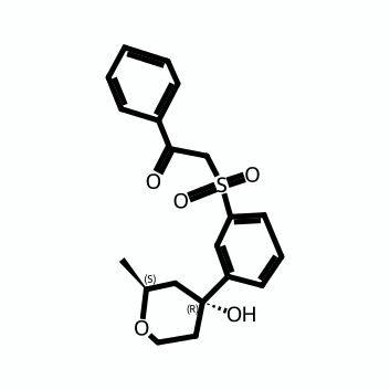 C[C@H]1C[C@@](O)(c2cccc(S(=O)(=O)CC(=O)c3ccccc3)c2)CCO1